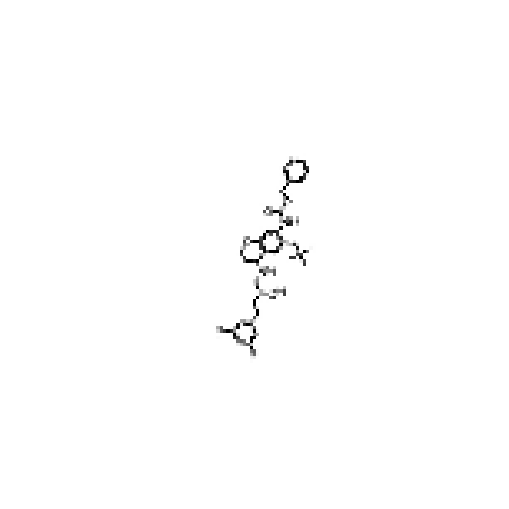 CC(C)(C)Cc1cc2c(cc1NC(=O)OCc1ccccc1)OCCC2NCC(O)CCc1cc(F)cc(F)c1